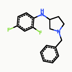 Fc1ccc(NC2CCN(Cc3ccccc3)C2)c(F)c1